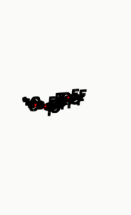 CCCCC1COC(C2CCC(c3ccc(C(F)(F)Oc4cc(F)c(C(F)(F)Oc5cc(F)c(OC=C(F)F)c(F)c5)c(F)c4)c(F)c3)CC2)OC1